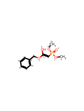 COP(=O)(/C=C(\O)OCc1ccccc1)OC